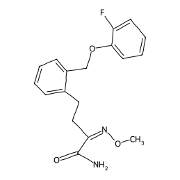 CON=C(CCc1ccccc1COc1ccccc1F)C(N)=O